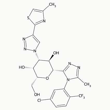 Cc1csc(-c2cn([C@H]3[C@@H](O)[C@@H](CO)O[C@@H](c4nnc(C)n4-c4cc(Cl)ccc4C(F)(F)F)[C@@H]3O)nn2)n1